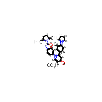 CC1CCC(C)N1c1nc2ccc(-n3cc(C(=O)O)c(=O)cc3-c3ccc(N4CCCC4)c(C(F)(F)F)c3)cc2o1